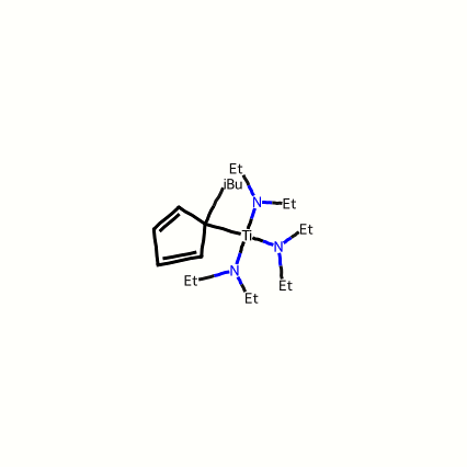 CCC(C)[C]1([Ti]([N](CC)CC)([N](CC)CC)[N](CC)CC)C=CC=C1